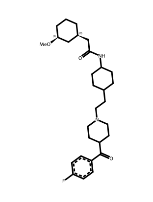 CO[C@H]1CCC[C@@H](CC(=O)NC2CCC(CCN3CCC(C(=O)c4ccc(F)cc4)CC3)CC2)C1